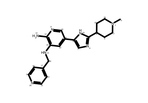 CN1CCC(c2ncc(-c3cnc(N)c(NCc4ccncc4)c3)[nH]2)CC1